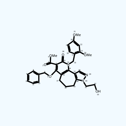 COC(=O)c1c(OCc2ccccc2)c2c(n(Cc3ccc(OC)cc3OC)c1=O)-c1cnn(CCO)c1CCC2